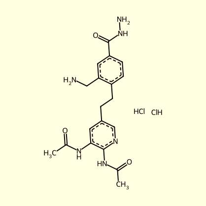 CC(=O)Nc1cc(CCc2ccc(C(=O)NN)cc2CN)cnc1NC(C)=O.Cl.Cl